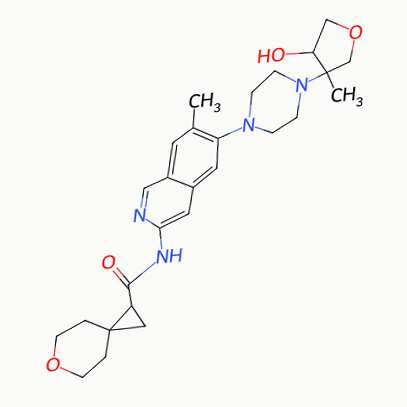 Cc1cc2cnc(NC(=O)C3CC34CCOCC4)cc2cc1N1CCN(C2(C)COCC2O)CC1